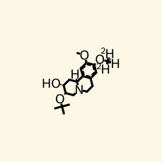 [2H]C([2H])([2H])Oc1cc2c(cc1OC)[C@H]1C[C@@H](O)[C@H](OC(C)(C)C)CN1CC2